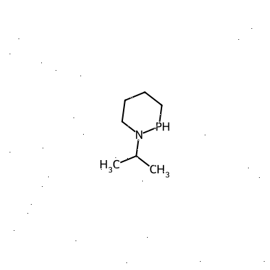 CC(C)N1CCCCP1